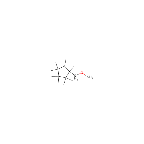 CC1C(C)(C)C(C)(C)C(C)(C)C1(C)[SiH2]O[SiH3]